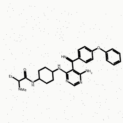 CCC(NC)C(=O)NC1CCC(Nc2ncnc(N)c2C(=N)c2ccc(Oc3ccccc3)cc2)CC1